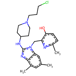 Cc1cc(C)c2nc(NC3CCN(CCCCl)CC3)n(Cc3nc(C)ccc3O)c2c1